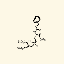 CCOC(=O)CC(CC(=O)OCC)CP(=O)(O)CC[C@H](NC(=O)OCc1ccccc1)C(=O)OC